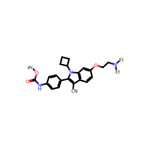 CCN(CC)CCOc1ccc2c(C#N)c(-c3ccc(NC(=O)OC(C)C)cc3)n(C3CCC3)c2c1